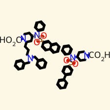 O=C(O)N1CCC(N(c2ccccc2)S(=O)(=O)c2ccc(-c3ccccc3)cc2)CC1.O=C(O)N1CC[C@H](N(c2ccccc2)S(=O)(=O)c2ccc3ccccc3c2)CC1CCCN(Cc1ccccc1)Cc1ccccc1